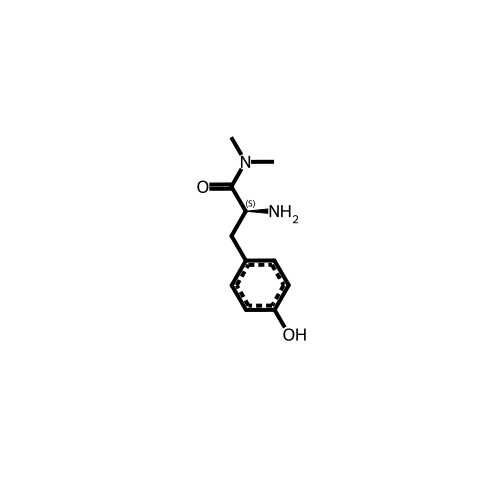 CN(C)C(=O)[C@@H](N)Cc1ccc(O)cc1